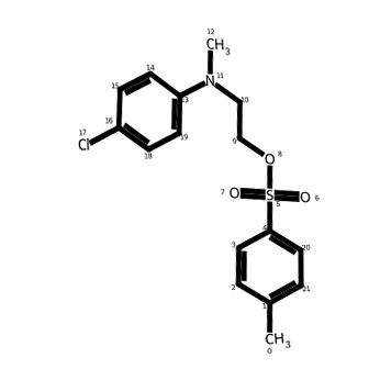 Cc1ccc(S(=O)(=O)OCCN(C)c2ccc(Cl)cc2)cc1